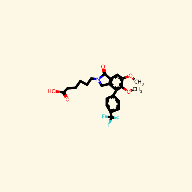 COc1cc2c(c(-c3ccc(C(F)(F)F)cc3)c1OC)CN(CCCCCC(=O)O)C2=O